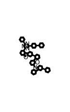 c1ccc(-c2ccc(-c3nc(-c4ccccc4)nc(-c4cccc5oc6cc(-c7cccc8oc9c(-n%10c%11ccccc%11c%11cc(-c%12ccccc%12)ccc%11%10)cccc9c78)ccc6c45)n3)cc2)cc1